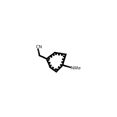 CNc1ccc(CC#N)cc1